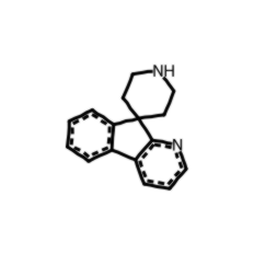 c1ccc2c(c1)-c1cccnc1C21CCNCC1